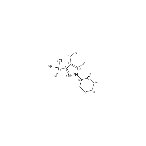 CCc1c(C(F)(F)Cl)nn(C2CCCCO2)c1C